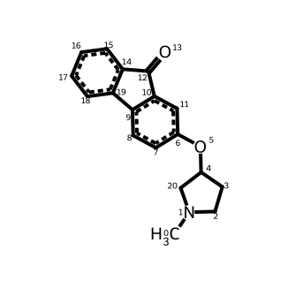 CN1CCC(Oc2ccc3c(c2)C(=O)c2ccccc2-3)C1